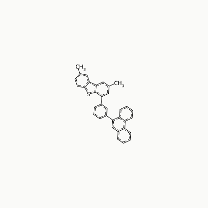 Cc1ccc2sc3c(-c4cccc(-c5cc6ccccc6c6ccccc56)c4)cc(C)cc3c2c1